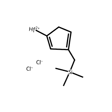 C[Si](C)(C)CC1=CC[C]([Hf+2])=C1.[Cl-].[Cl-]